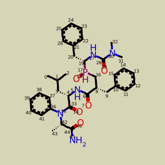 CC(C)C[C@H](NC(=O)[C@@H](Cc1ccccc1)C[PH](=O)[C@H](Cc1ccccc1)NC(=O)N(C)C)C(=O)N(c1ccccc1)[C@@H](C)C(N)=O